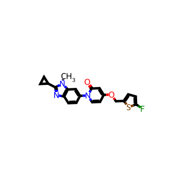 Cn1c(C2CC2)nc2ccc(-n3ccc(OCc4ccc(F)s4)cc3=O)cc21